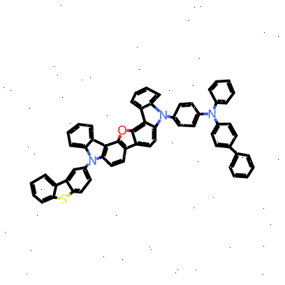 c1ccc(-c2ccc(N(c3ccccc3)c3ccc(-n4c5ccccc5c5c6oc7c(ccc8c7c7ccccc7n8-c7ccc8sc9ccccc9c8c7)c6ccc54)cc3)cc2)cc1